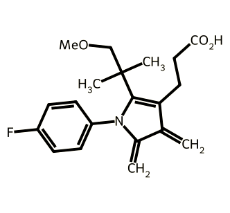 C=c1c(CCC(=O)O)c(C(C)(C)COC)n(-c2ccc(F)cc2)c1=C